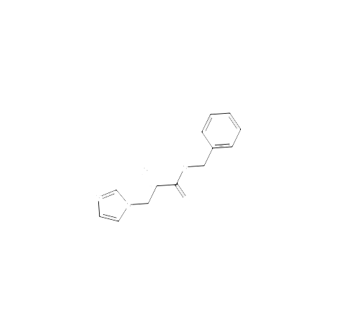 N[C@@H](Cn1ccnc1)C(=O)NCc1ccccc1